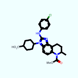 COC(=O)N1c2ccc3c(nc(Nc4ccc(Cl)cc4)n3C3CCC(C(=O)O)CC3)c2CCC1C